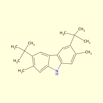 Cc1cc2[nH]c3cc(C)c(C(C)(C)C)cc3c2cc1C(C)(C)C